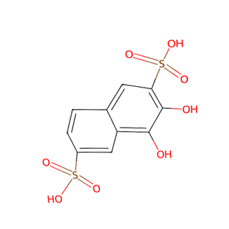 O=S(=O)(O)c1ccc2cc(S(=O)(=O)O)c(O)c(O)c2c1